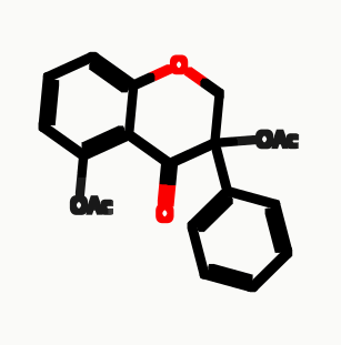 CC(=O)Oc1cccc2c1C(=O)C(OC(C)=O)(c1ccccc1)CO2